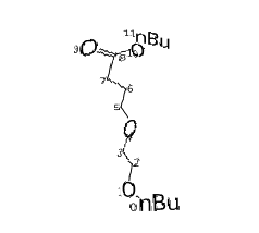 CCCCOCCOCCCC(=O)OCCCC